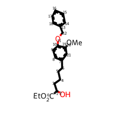 CCOC(=O)C(O)CCCCc1ccc(OCc2ccccc2)c(OC)c1